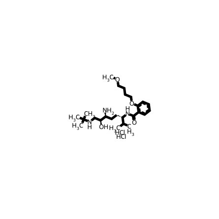 COCCCCOc1ccccc1C(=O)N[C@@H](CC[C@H](N)[C@@H](O)CNC(C)(C)C)C(C)C.Cl.Cl